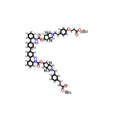 CC(C)(C)OC(=O)CCOc1ccc(CCN2C[C@H]3C[C@H](OC(=O)Nc4ccccc4-c4ccc(-c5ccc(-c6ccccc6NC(=O)O[C@H]6C[C@@H]7CN(Cc8cccc(CCC(=O)OC(C)(C)C)c8)C[C@@H]7C6)cc5)cc4)C[C@H]3C2)cc1